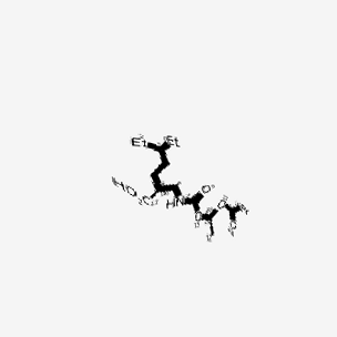 CCC(CC)CC[C@@H](CNC(=O)O[C@H](C)OC(=O)C(C)C)C(=O)O